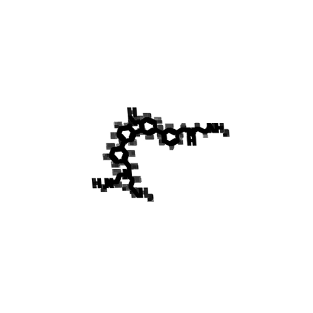 NCCNCc1cccc(-c2ccc3[nH]c4ccc(-c5cccc(CN(CCN)CCN)c5)cc4c3c2)c1